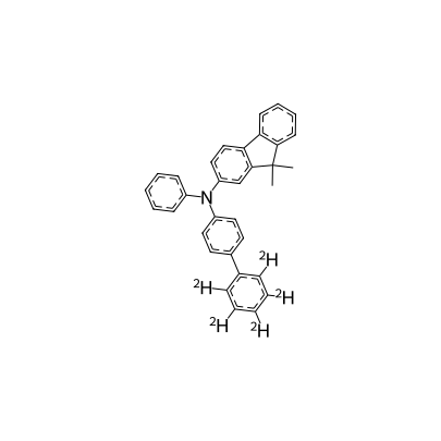 [2H]c1c([2H])c([2H])c(-c2ccc(N(c3ccccc3)c3ccc4c(c3)C(C)(C)c3ccccc3-4)cc2)c([2H])c1[2H]